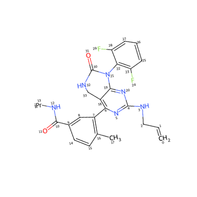 C=CCNc1nc(-c2cc(C(=O)NC(C)C)ccc2C)c2c(n1)N(c1c(F)cccc1F)C(=O)NC2